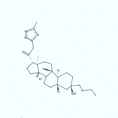 C=C(Cn1nnc(C)n1)[C@H]1CC[C@H]2[C@@H]3CC[C@H]4C[C@@](O)(COCC)CC[C@@H]4[C@H]3CC[C@]12C